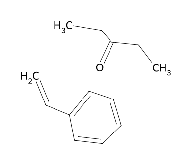 C=Cc1ccccc1.CCC(=O)CC